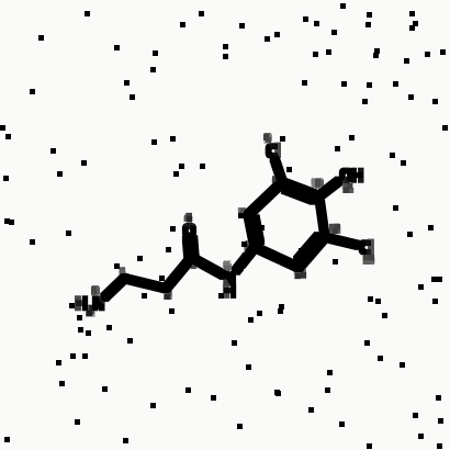 NCCC(=O)Nc1cc(Cl)c(O)c(Cl)c1